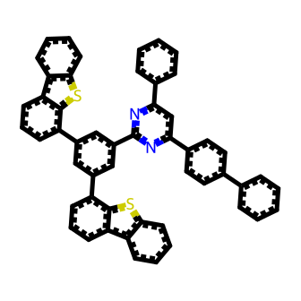 c1ccc(-c2ccc(-c3cc(-c4ccccc4)nc(-c4cc(-c5cccc6c5sc5ccccc56)cc(-c5cccc6c5sc5ccccc56)c4)n3)cc2)cc1